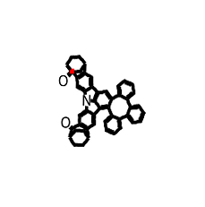 O=C1c2cc3c(cc2C2CCC1CC2)c1cc2c(c4c5cc6c(cc5n3c14)C(=O)C1CCC6CC1)-c1ccccc1-c1ccccc1-c1ccccc1-2